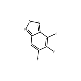 Fc1cc2nsnc2c(I)c1F